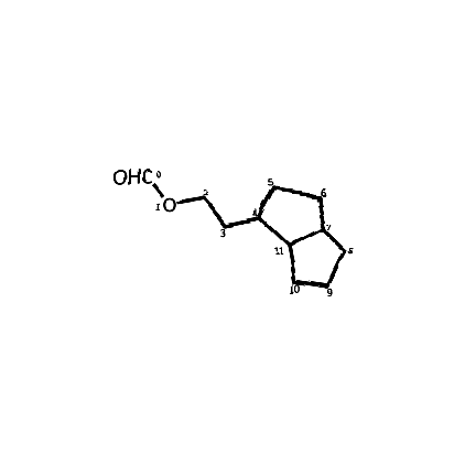 O=COCCC1CCC2CCCC21